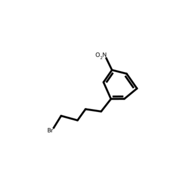 O=[N+]([O-])c1cccc(CCCCBr)c1